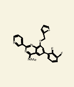 CNc1nc(-c2cccnc2)nc2c(OCc3cccs3)cc(-c3cccc(F)c3F)cc12